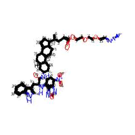 CC(CCC(=O)OCCOCCOCCN=[N+]=[N-])C1CCC2C3CC[C@@H]4C[C@H](NC(=O)C(Cc5c[nH]c6ccccc56)Nc5ccc([N+](=O)[O-])c6nonc56)CC[C@]4(C)C3CC[C@]12C